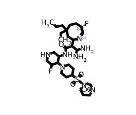 CCCC1(CC)CC[C@H](F)/C=N\C(C(C(=O)NC2CNCC(F)C2N2CCC(S(=O)(=O)N3CCN4CCC3CC4)CC2)C(N)N)C1